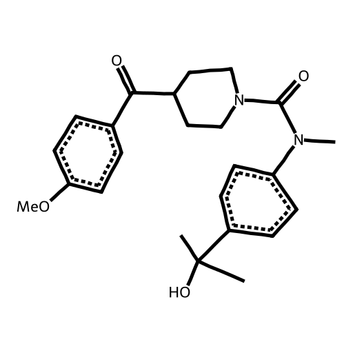 COc1ccc(C(=O)C2CCN(C(=O)N(C)c3ccc(C(C)(C)O)cc3)CC2)cc1